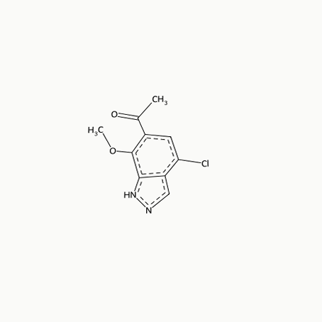 COc1c(C(C)=O)cc(Cl)c2cn[nH]c12